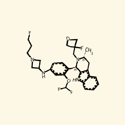 C[C@@H]1Cc2c([nH]c3ccccc23)[C@@H](c2ccc(NC3CN(CCCF)C3)cc2OC(F)F)N1CC1(F)COC1